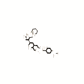 Cn1ncc(-c2cnc3cnc(NC(=O)c4ccc(OC(F)F)cc4)cc3c2)c1CN1CCCCC1